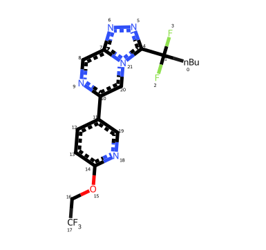 CCCCC(F)(F)c1nnc2cnc(-c3ccc(OCC(F)(F)F)nc3)cn12